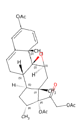 CC(=O)OCC(=O)[C@@]1(OC(C)=O)[C@H](C)C[C@H]2[C@@H]3CC=C4C=C(OC(C)=O)C=C[C@]4(C)[C@@]34O[C@H]4C[C@@]21C